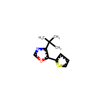 CC(C)(C)c1ncoc1-c1cccs1